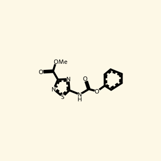 COC(=O)c1nsc(NC(=O)Oc2ccccc2)n1